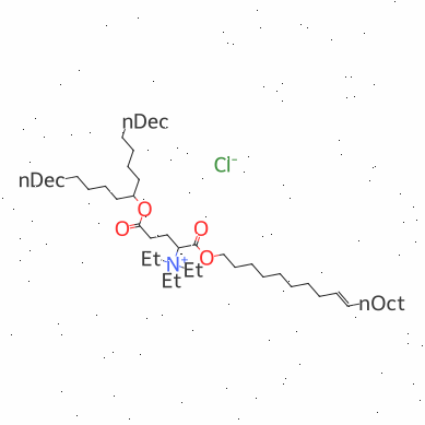 CCCCCCCCC=CCCCCCCCCOC(=O)C(CCC(=O)OC(CCCCCCCCCCCCCC)CCCCCCCCCCCCCC)[N+](CC)(CC)CC.[Cl-]